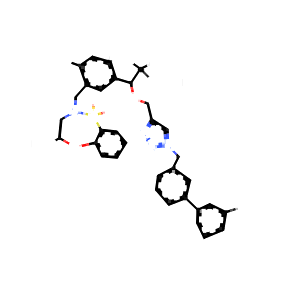 Cc1ccc(C(OCc2cn(Cc3cccc(-c4cccc(C(=O)O)c4)c3)nn2)C(C)(C)C(=O)O)cc1CN1CC(C)Oc2ccccc2S1(O)O